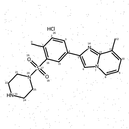 Cc1ccc(-c2cn3cccc(C)c3n2)cc1S(=O)(=O)N1CCNCC1.Cl